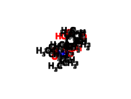 CC1=C2[C@@H](O)C(=O)[C@@]3(C)[C@H]([C@H](C)[C@](O)(C[C@@H]1OC(=O)[C@H](C)[C@H](CC(C)C)NC(=O)OC(C)(C)C)C2(C)C)[C@]1(C)CO[C@@H]1C[C@@H]3C